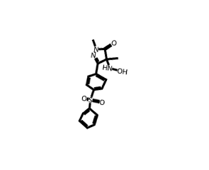 CN1N=C(c2ccc(S(=O)(=O)c3ccccc3)cc2)C(C)(NO)C1=O